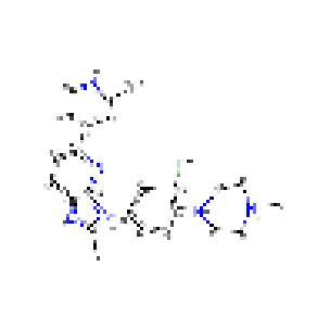 [2H]c1cc(-c2ccc3nc(C)n(-c4ccc(N5CCN(C)CC5)c(F)c4)c3n2)ccn1